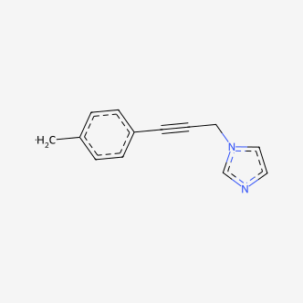 [CH2]c1ccc(C#CCn2ccnc2)cc1